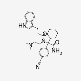 CN(C)CCN(C(=O)CCc1c[nH]c2ccccc12)C(C(N)=O)(c1ccc(C#N)cc1)C1CCCCC1